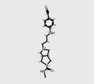 CNC(=O)N1CC2CN(CCCNc3ccc(C#N)cc3)CC2C1